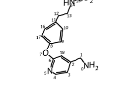 NCc1ccnc(Oc2ccc(CCNC(=O)O)cc2)c1